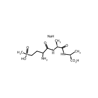 C[C@H](NC(=O)[C@H](C)NC(=O)C(N)CCP(C)(=O)O)C(=O)O.[NaH]